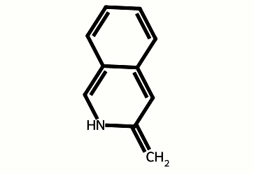 C=C1C=c2ccccc2=CN1